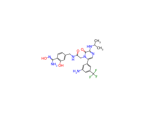 CC(C)Nc1ncc(-c2cc(N)cc(C(F)(F)F)c2)n(CC(=O)NCc2ccc(/C(N)=N/O)c(O)c2)c1=O